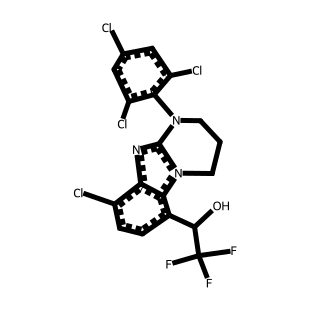 OC(c1ccc(Cl)c2nc3n(c12)CCCN3c1c(Cl)cc(Cl)cc1Cl)C(F)(F)F